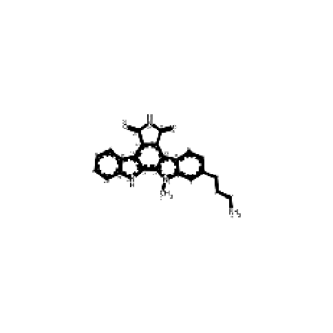 Cn1c2cc(CCCN)ccc2c2c3c(c4c5ccccc5[nH]c4c21)C(=O)NC3=O